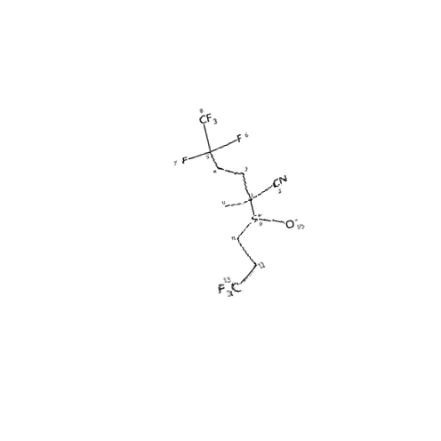 CC(C#N)(CCC(F)(F)C(F)(F)F)[S+]([O-])CCC(F)(F)F